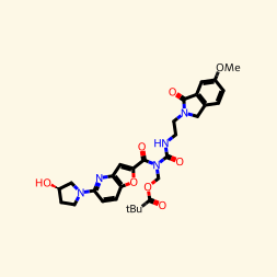 COc1ccc2c(c1)C(=O)N(CCNC(=O)N(COC(=O)C(C)(C)C)C(=O)c1cc3nc(N4CC[C@@H](O)C4)ccc3o1)C2